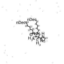 CCCCCCCCCCCCCCCCCC(C)(C1=NCCN1)C(C)NC(=O)CCCCCCCCCCCCCCC